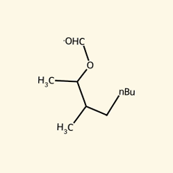 CCCCCC(C)C(C)O[C]=O